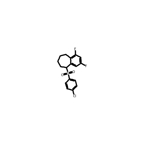 O=S(=O)(c1ccc(Cl)cc1)C1CCCCc2c(F)cc(F)cc21